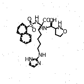 O=C(NC(CCCCCNc1ncc[nH]1)(NS(=O)(=O)c1cccc2ccccc12)C(=O)O)C1CCON1